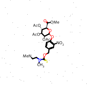 CNCCN(C)C(=S)OCc1ccc(O[C@@H]2O[C@H](C(=O)OC)[C@@H](OC(C)=O)[C@H](OC(C)=O)[C@H]2OC(C)=O)c([N+](=O)[O-])c1